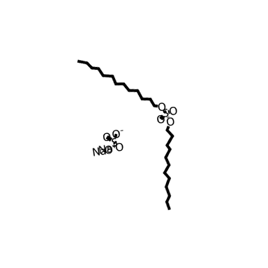 CCCCCCCCCCCCCOS(=O)(=O)OCCCCCCCCCCCC.O=S(=O)([O-])[O-].[Na+].[Na+]